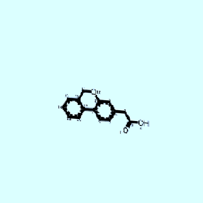 O=C(O)Cc1ccc2c(c1)OCc1ccccc1-2